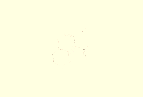 CC(=O)/C(=C1\SCCCN1Cl)[N+](=O)[O-]